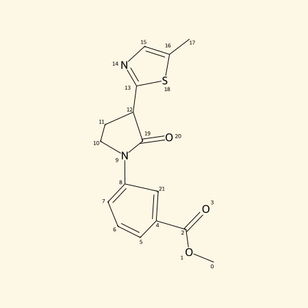 COC(=O)c1cccc(N2CCC(c3ncc(C)s3)C2=O)c1